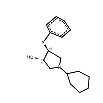 O[C@H]1CN(C2CCCCC2)C[C@@H]1Sc1ccccc1